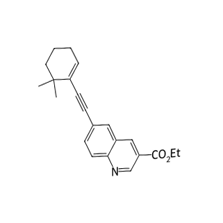 CCOC(=O)c1cnc2ccc(C#CC3=CCCCC3(C)C)cc2c1